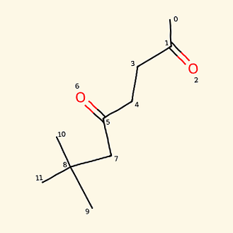 CC(=O)CCC(=O)CC(C)(C)C